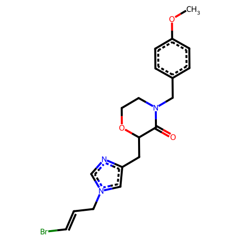 COc1ccc(CN2CCOC(Cc3cn(CC=CBr)cn3)C2=O)cc1